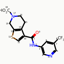 O=C(Nc1cncc(C(F)(F)F)c1)c1csc2c1CCN(C(=O)O)C2